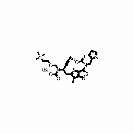 CC#CC(Cc1sc2c(N(Cc3cccs3)C(=O)OC(C)(C)C)snc2c1C)N(COCC[Si](C)(C)C)C(=O)OC(C)(C)C